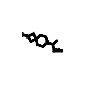 CSC(C)N1CCC2(CC1)CN(I)C2